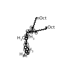 CCCCCCCC/C=C\CCCCCCCC(=O)OCC(COC(=O)CCCCCCC/C=C\CCCCCCCC)OC(=O)CC(C)CC(=O)Oc1c(C)cc(COC(=O)O[C@H]2CC[C@@]3(C)[C@@H](CC[C@@H]4[C@@H]3CC[C@]3(C)[C@@H](C(C)=O)CC[C@@H]43)C2)cc1C